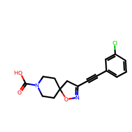 O=C(O)N1CCC2(CC1)CC(C#Cc1cccc(Cl)c1)=NO2